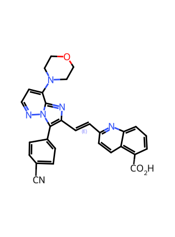 N#Cc1ccc(-c2c(/C=C/c3ccc4c(C(=O)O)cccc4n3)nc3c(N4CCOCC4)ccnn23)cc1